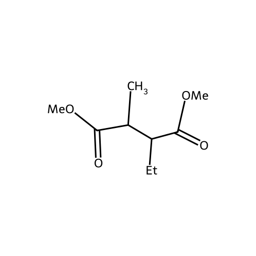 CCC(C(=O)OC)C(C)C(=O)OC